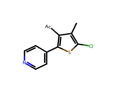 CC(=O)c1c(-c2ccncc2)sc(Cl)c1C